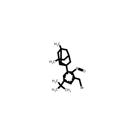 CC12CC3CC(C)(C1)CC(c1cc(C(C)(C)C)cc(CBr)c1N=O)(C3)C2